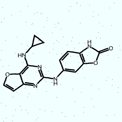 O=c1[nH]c2ccc(Nc3nc(NC4CC4)c4occc4n3)cc2o1